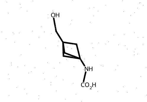 O=C(O)NC12CC(CO)(C1)C2